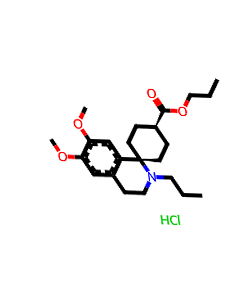 CCCOC(=O)[C@H]1CC[C@]2(CC1)c1cc(OC)c(OC)cc1CCN2CCC.Cl